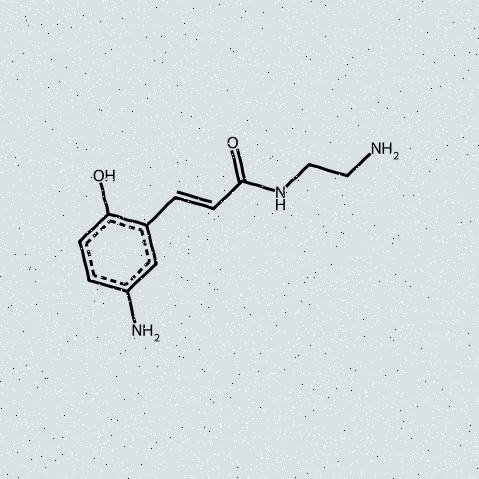 NCCNC(=O)C=Cc1cc(N)ccc1O